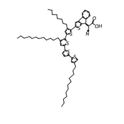 CCCCCCCCCCCCc1csc(-c2ccc(-c3cc(CCCCCCCCCCCC)c(-c4cc(CCCCCCCC)c(-c5cc6c(s5)/C(=C(\C#N)C(=O)O)c5ccccc5-6)s4)s3)s2)c1